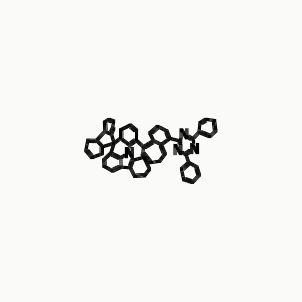 C1#CC(c2cccc3c2-n2c4c(c5cccc(c52)C32c3ccccc3-c3ccccc32)C=CCC4)=c2cccc(-c3nc(-c4ccccc4)nc(-c4ccccc4)n3)c2=CC1